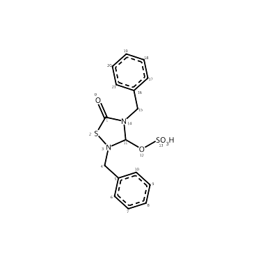 O=C1SN(Cc2ccccc2)C(OS(=O)(=O)O)N1Cc1ccccc1